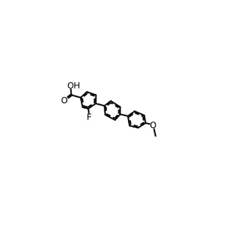 COc1ccc(-c2ccc(-c3ccc(C(=O)O)cc3F)cc2)cc1